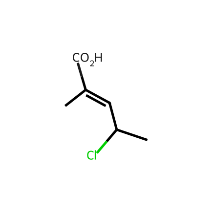 CC(=CC(C)Cl)C(=O)O